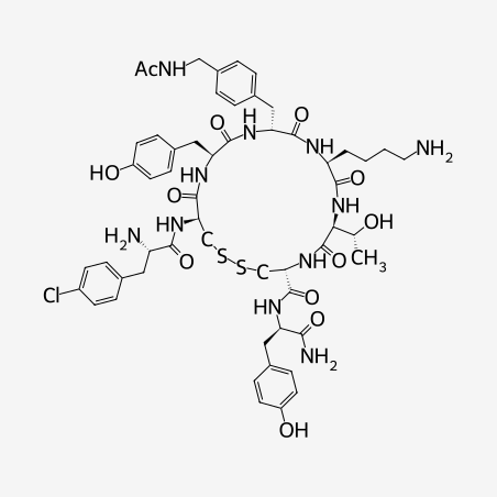 CC(=O)NCc1ccc(C[C@H]2NC(=O)[C@H](Cc3ccc(O)cc3)NC(=O)[C@H](NC(=O)[C@@H](N)Cc3ccc(Cl)cc3)CSSC[C@@H](C(=O)N[C@H](Cc3ccc(O)cc3)C(N)=O)NC(=O)[C@H]([C@@H](C)O)NC(=O)[C@H](CCCCN)NC2=O)cc1